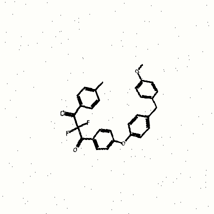 COc1ccc(Cc2ccc(Oc3ccc(C(=O)C(F)(F)C(=O)c4ccc(C)cc4)cc3)cc2)cc1